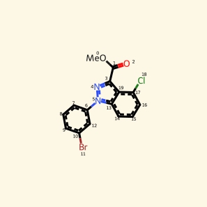 COC(=O)c1nn(-c2cccc(Br)c2)c2cccc(Cl)c12